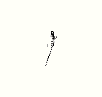 CCCCCCCCCCCCCCCCCCOC[C@@H]1C[C@@H](COC(=O)NCc2cccc[n+]2C)CO1.[I-]